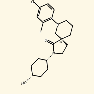 O=C1N([C@H]2CC[C@@H](O)CC2)CC[C@@]12CCCN(c1ncc(Cl)cc1F)C2